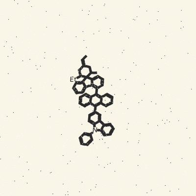 CC=C1CC(C)C2(c3ccccc3-c3c(-c4c5ccccc5c(-c5ccc6c(c5)c5ccccc5n6-c5ccccc5)c5ccccc45)cccc32)C(CC)C1